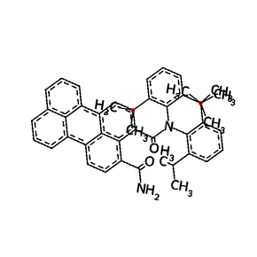 CC(C)c1cccc(C(C)C)c1N(C(=O)c1ccc2c3cccc4cccc(c5ccc(C(N)=O)c1c52)c43)c1c(C(C)C)cccc1C(C)C